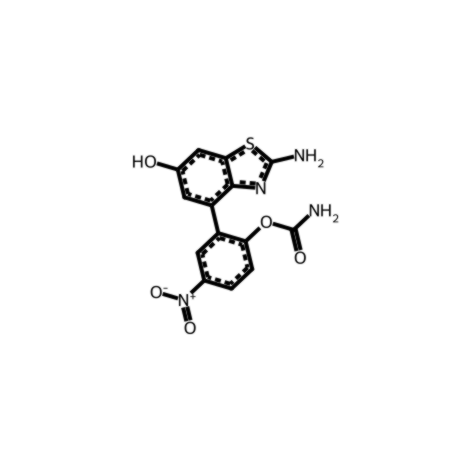 NC(=O)Oc1ccc([N+](=O)[O-])cc1-c1cc(O)cc2sc(N)nc12